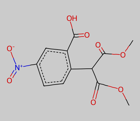 COC(=O)C(C(=O)OC)c1ccc([N+](=O)[O-])cc1C(=O)O